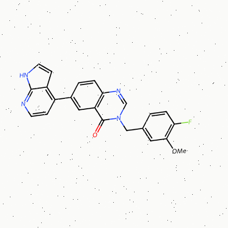 COc1cc(Cn2cnc3ccc(-c4ccnc5[nH]ccc45)cc3c2=O)ccc1F